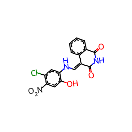 O=C1NC(=O)c2ccccc2C1=CNc1cc(Cl)c([N+](=O)[O-])cc1O